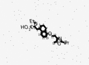 CCOC(CC1=CCCc2c(OCCc3nc(C(C)C)oc3C)cccc21)C(=O)O